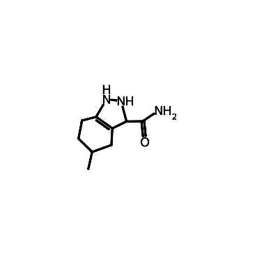 CC1CCC2=C(C1)C(C(N)=O)NN2